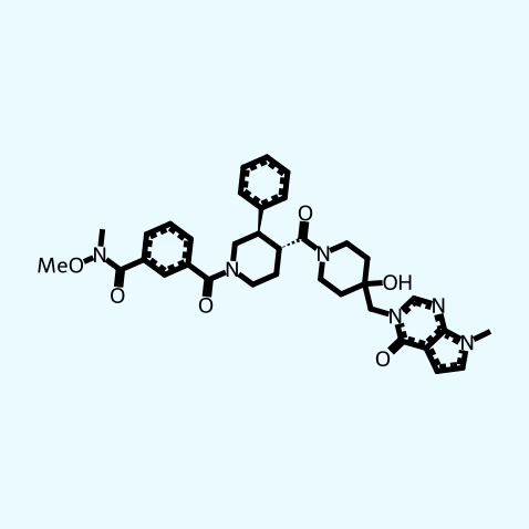 CON(C)C(=O)c1cccc(C(=O)N2CC[C@@H](C(=O)N3CCC(O)(Cn4cnc5c(ccn5C)c4=O)CC3)[C@H](c3ccccc3)C2)c1